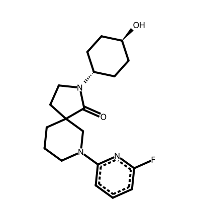 O=C1N([C@H]2CC[C@H](O)CC2)CCC12CCCN(c1cccc(F)n1)C2